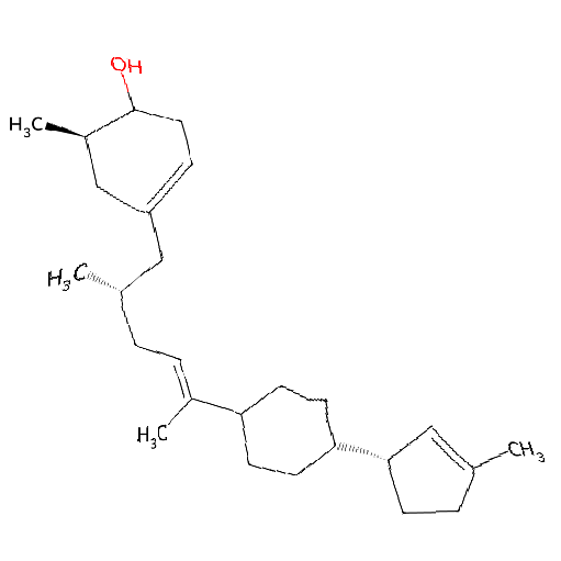 CC1=C[C@@H](C2CCC(/C(C)=C/C[C@H](C)CC3=CCC(O)[C@H](C)C3)CC2)CC1